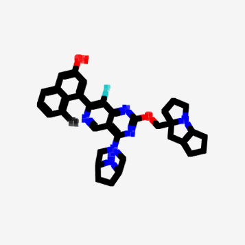 CCc1cccc2cc(O)cc(-c3ncc4c(N5CC6CCC(C5)N6)nc(OCC56CCCN5C5CCCC5C6)nc4c3F)c12